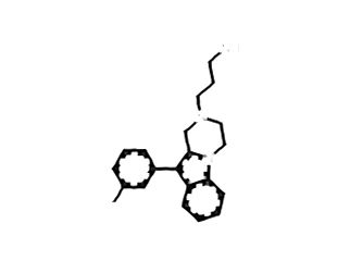 NCCCN1CCn2c(c(-c3cccc(Cl)c3)c3ccccc32)C1